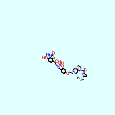 Cc1ccc(C(=O)N2CCOC3(CCN(CCOc4ccc(CN(CC(O)c5ccc(O)c6[nH]c(=O)sc56)C(=O)O)cc4)CC3)C2)s1